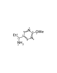 CCC(N)c1cnc(OC)nc1